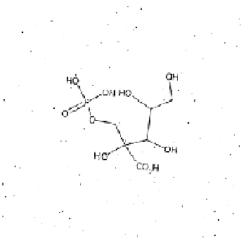 O=C(O)C(O)(COP(=O)(O)O)C(O)C(O)CO